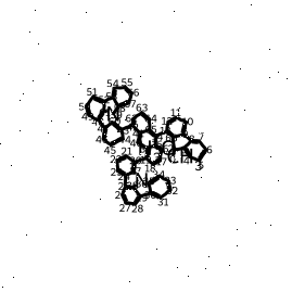 CC1(C)c2ccccc2-c2cccc(-c3c4cccc(-c5cccc6c7cccc8c9ccccc9n(c56)c87)c4cc4c(-c5cccc6c7cccc8c9ccccc9n(c56)c87)cccc34)c21